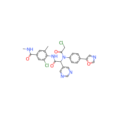 CNC(=O)c1cc(C)c(NC(=O)C(c2cncnc2)N(C(=O)CCl)c2ccc(-c3cnco3)cc2)c(Cl)c1